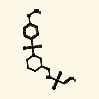 C=CS(=O)(=O)NC[C@H]1CCCN(S(=O)(=O)c2ccc(OC)cc2)C1